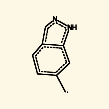 [CH2]c1ccc2cn[nH]c2c1